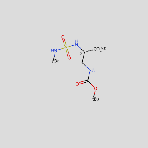 CCCCNS(=O)(=O)N[C@@H](CNC(=O)OC(C)(C)C)C(=O)OCC